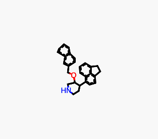 c1ccc2cc(COC3CNCCC3c3ccc4c5c(cccc35)CC4)ccc2c1